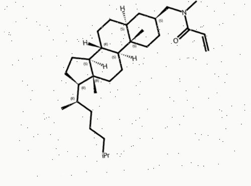 C=CC(=O)N(C)C[C@H]1CC[C@@]2(C)[C@@H](CC[C@@H]3[C@@H]2CC[C@]2(C)[C@@H]([C@H](C)CCCC(C)C)CC[C@@H]32)C1